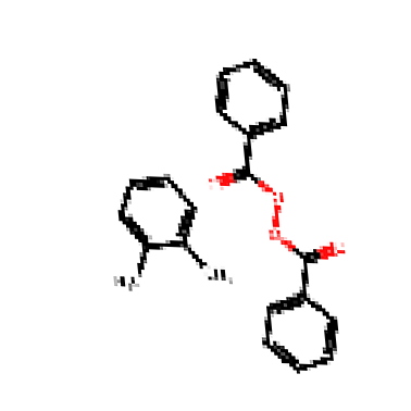 Cc1ccccc1C.O=C(OOC(=O)c1ccccc1)c1ccccc1